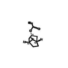 CN1[C@@H]2CC[C@H]1C[C@@H](OC(=O)C(C)(C)C)C2